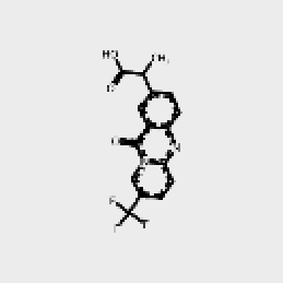 CC(C(=O)O)c1ccc2nc3ccc(C(F)(F)F)cn3c(=O)c2c1